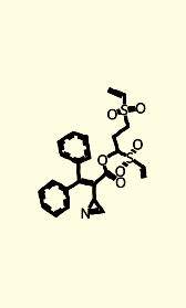 C=CS(=O)(=O)CCC(OC(=O)C(=C(c1ccccc1)c1ccccc1)C1C=N1)S(=O)(=O)C=C